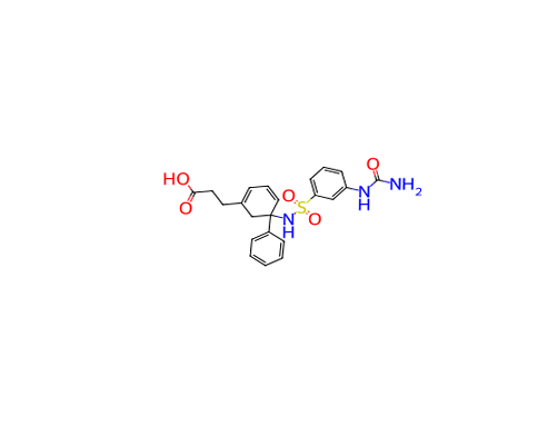 NC(=O)Nc1cccc(S(=O)(=O)NC2(c3ccccc3)C=CC=C(CCC(=O)O)C2)c1